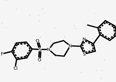 Cc1ccccc1-c1csc(N2CCN(S(=O)(=O)c3ccc(F)c(Cl)c3)CC2)n1